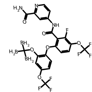 BC(B)(B)Oc1cc(OC(F)(F)F)ccc1Oc1ccc(OC(F)(F)F)c(F)c1C(=O)Nc1ccnc(C(N)=O)c1